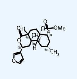 COC(=O)[C@@H]1C[C@H](C)C[C@H]2[C@@]1(C)CC[C@H]1C(=O)O[C@H](c3ccoc3)C[C@]21C